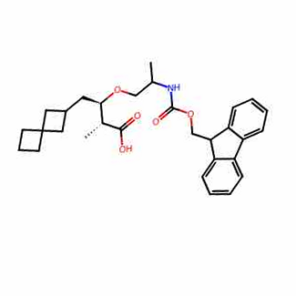 CC(CO[C@H](CC1CC2(CCC2)C1)[C@@H](C)C(=O)O)NC(=O)OCC1c2ccccc2-c2ccccc21